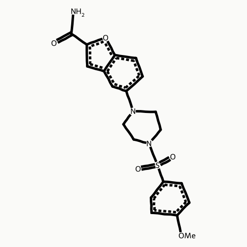 COc1ccc(S(=O)(=O)N2CCN(c3ccc4oc(C(N)=O)cc4c3)CC2)cc1